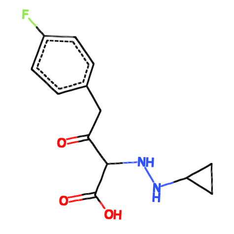 O=C(O)C(NNC1CC1)C(=O)Cc1ccc(F)cc1